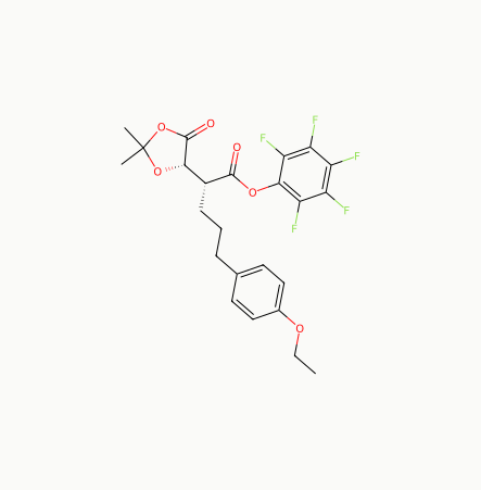 CCOc1ccc(CCC[C@@H](C(=O)Oc2c(F)c(F)c(F)c(F)c2F)[C@@H]2OC(C)(C)OC2=O)cc1